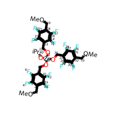 COCc1c(F)c(F)c(C[O][Zr]([O]Cc2c(F)c(F)c(COC)c(F)c2F)([O]Cc2c(F)c(F)c(COC)c(F)c2F)[O]C(C)C)c(F)c1F